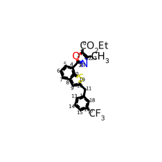 CCOC(=O)c1oc(-c2cccc3cc(Cc4cccc(C(F)(F)F)c4)sc23)nc1C